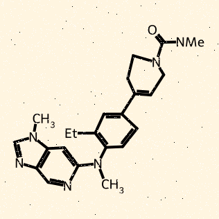 CCc1cc(C2=CCN(C(=O)NC)CC2)ccc1N(C)c1cc2c(cn1)ncn2C